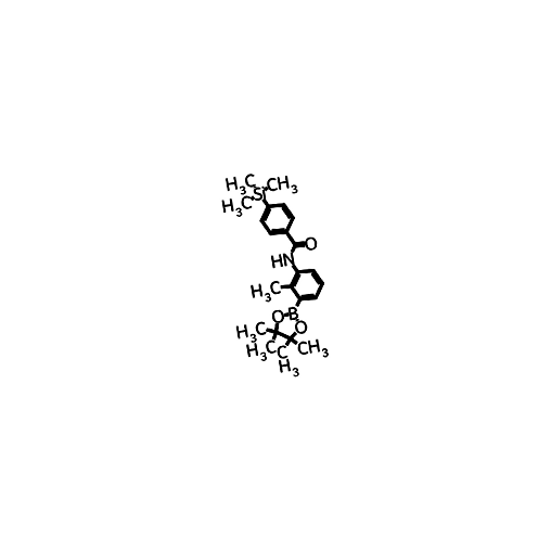 Cc1c(NC(=O)c2ccc([Si](C)(C)C)cc2)cccc1B1OC(C)(C)C(C)(C)O1